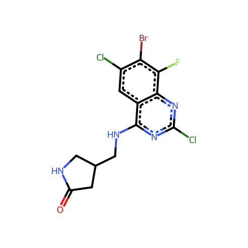 O=C1CC(CNc2nc(Cl)nc3c(F)c(Br)c(Cl)cc23)CN1